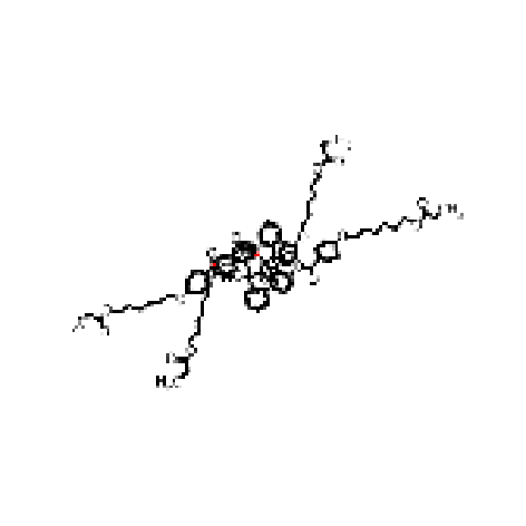 C=CC(=O)OCCCCCCOc1ccc(C(=O)Oc2ccccc2C(O)(c2ccccc2OC(=O)c2ccc(OCCCCCCOC(=O)C=C)cc2)[C@H](O)[C@@H](O)C(O)(c2ccccc2OC(=O)c2ccc(OCCCCCCOC(=O)C=C)cc2)c2ccccc2OC(=O)c2ccc(OCCCCCCOC(=O)C=C)cc2)cc1